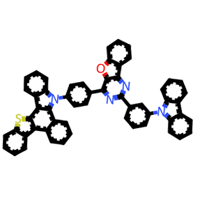 c1cc(-c2nc(-c3ccc(-n4c5ccccc5c5c6sc7ccccc7c6c6ccccc6c54)cc3)c3oc4ccccc4c3n2)cc(-n2c3ccccc3c3ccccc32)c1